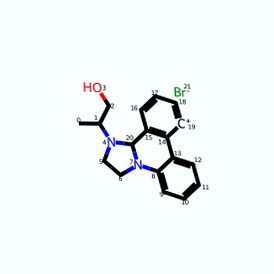 CC(CO)N1CCN2c3ccccc3C3=C(C=CC=[C+]3)C21.[Br-]